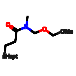 CCCCCCCCCC(=O)N(C)COCOC